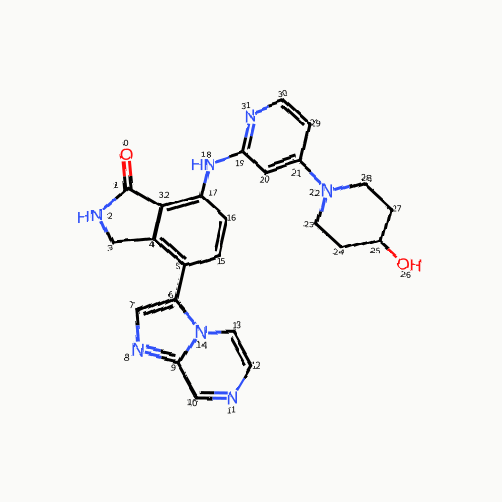 O=C1NCc2c(-c3cnc4cnccn34)ccc(Nc3cc(N4CCC(O)CC4)ccn3)c21